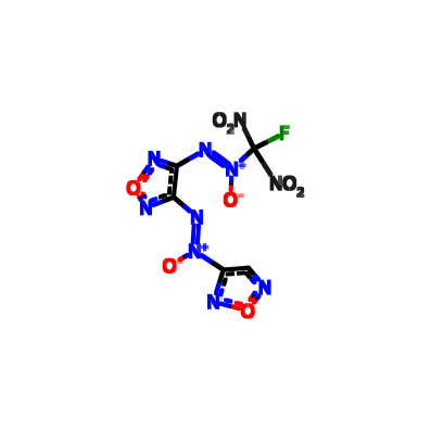 O=[N+]([O-])C(F)([N+](=O)[O-])[N+]([O-])=Nc1nonc1N=[N+]([O-])c1cnon1